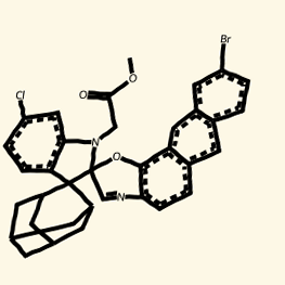 COC(=O)CN1c2cc(Cl)ccc2C2(C3CC4CC(C3)CC2C4)C12C=Nc1ccc3cc4ccc(Br)cc4cc3c1O2